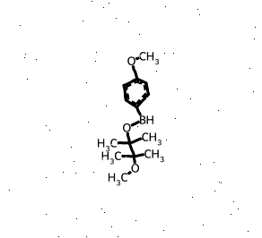 COc1ccc(BOC(C)(C)C(C)(C)OC)cc1